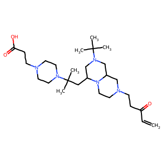 C=CC(=O)CCN1CCN2C(C1)CN(C(C)(C)C)CC2CC(C)(C)N1CCN(CCC(=O)O)CC1